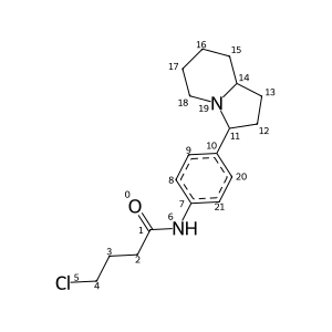 O=C(CCCCl)Nc1ccc(C2CCC3CCCCN32)cc1